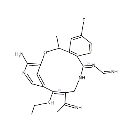 CCN/C1=C(\C(C)=N)CN/C(=N\C=N)c2ccc(F)cc2C(C)Oc2cc1cnc2N